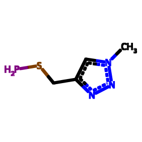 Cn1cc(CSP)nn1